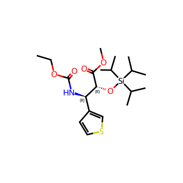 CCOC(=O)N[C@H](c1ccsc1)[C@@H](O[Si](C(C)C)(C(C)C)C(C)C)C(=O)OC